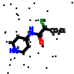 CCOC(=O)C(F)C(=O)NC1CCNCC1